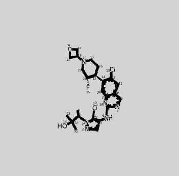 CC(n1ncc(Nc2ncc3cc(Cl)c([C@@H]4CCN(C5COC5)C[C@H]4F)cc3n2)c1Cl)C(C)(C)O